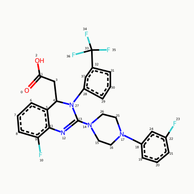 O=C(O)CC1c2cccc(F)c2N=C(N2CCN(c3cccc(F)c3)CC2)N1c1cccc(C(F)(F)F)c1